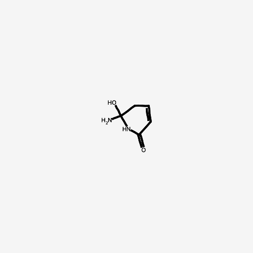 NC1(O)CC=CC(=O)N1